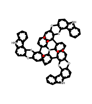 c1ccc(N(c2ccccc2-c2cccc3c2Sc2c(ccc4[nH]c5ccccc5c24)O3)c2ccccc2-c2cccc3c2Sc2c(ccc4[nH]c5ccccc5c24)O3)c(-c2cccc3c2Sc2c(ccc4[nH]c5ccccc5c24)O3)c1